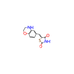 O=C1NC(=O)/C(=C/c2ccc3c(c2)NCCO3)S1